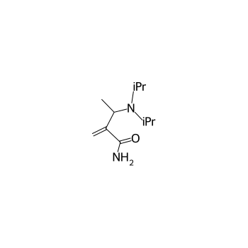 C=C(C(N)=O)C(C)N(C(C)C)C(C)C